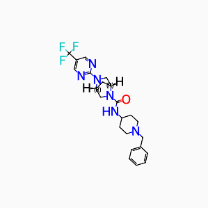 O=C(NC1CCN(Cc2ccccc2)CC1)N1C[C@H]2C[C@@H]1CN2c1ncc(C(F)(F)F)cn1